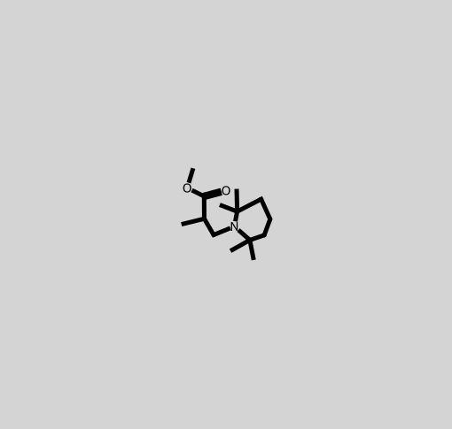 COC(=O)C(C)CN1C(C)(C)CCCC1(C)C